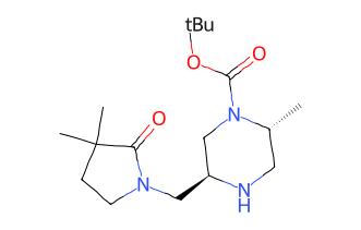 C[C@@H]1CN[C@@H](CN2CCC(C)(C)C2=O)CN1C(=O)OC(C)(C)C